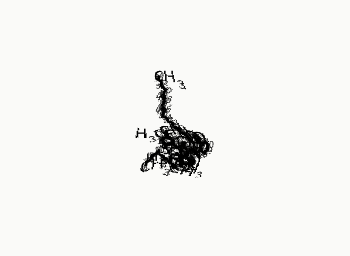 C#CC#CC(CCCC)CSc1ccc(C(C)(C)C)cc1NC(=O)C(C1=Nc2ccccc2S(=O)(=O)N1CCCCCCCCCCCCCCCCCC)N1C(=O)OC(C)(C)C1=O